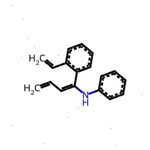 C=C/C=C(/Nc1ccccc1)c1ccccc1C=C